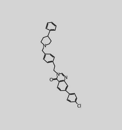 O=c1c2ccc(-c3ccc(Cl)cc3)cc2ncn1CCc1ccc(CN2CCC(c3ccccc3)CC2)cc1